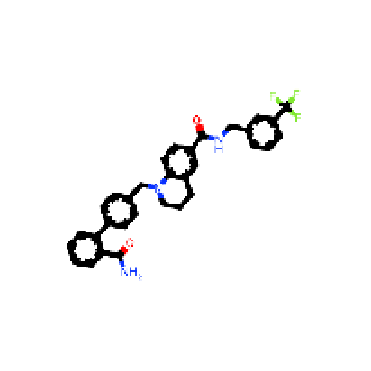 NC(=O)c1ccccc1-c1ccc(CN2CCCc3cc(C(=O)NCc4cccc(C(F)(F)F)c4)ccc32)cc1